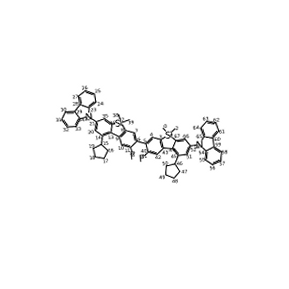 C[Si]1(C)c2cc(-c3cc4c(cc3F)-c3c(C5CCCC5)cc(-n5c6ccccc6c6ccccc65)cc3[Si]4(C)C)c(F)cc2-c2c(C3CCCC3)cc(-n3c4ccccc4c4ccccc43)cc21